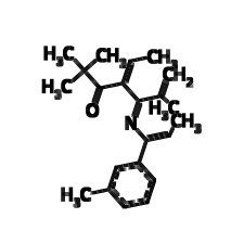 C=C(C)C(=N\C(=C/C)c1cccc(C)c1)/C(=C\C)C(=O)C(C)(C)C